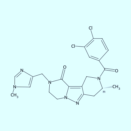 C[C@@H]1Cc2nn3c(c2CN1C(=O)c1ccc(Cl)c(Cl)c1)C(=O)N(Cc1cn(C)cn1)CC3